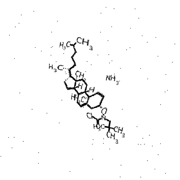 CC(C)CCC[C@@H](C)[C@H]1CC[C@H]2[C@@H]3CC=C4C[C@@H](ON(CC(C)(C)C)C(=O)Cl)CC[C@]4(C)[C@H]3CC[C@]12C.N